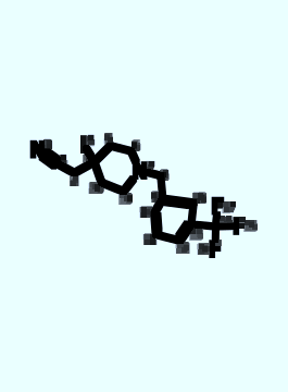 N#CCC1(I)CCN(Cc2cccc(C(F)(F)F)c2)CC1